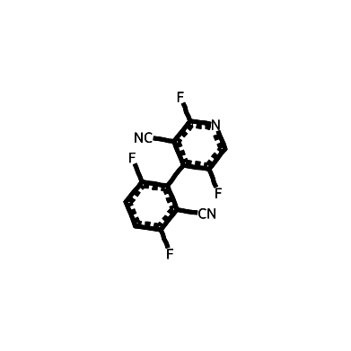 N#Cc1c(F)ccc(F)c1-c1c(F)cnc(F)c1C#N